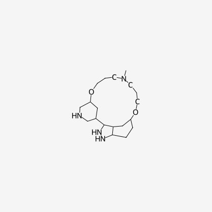 CN1CCCOC2CNCC(C2)C2NNC3CCC(CC32)OCCC1